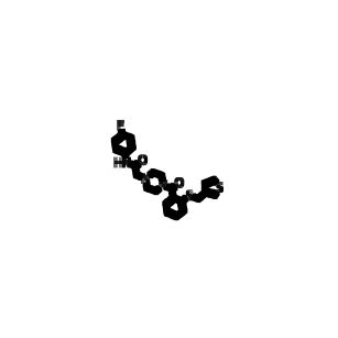 O=C(CN1CCN(C(=O)c2ccccc2SCc2ccsc2)CC1)Nc1ccc(F)cc1